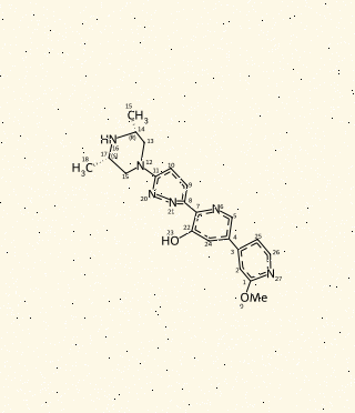 COc1cc(-c2cnc(-c3ccc(N4C[C@@H](C)N[C@@H](C)C4)nn3)c(O)c2)ccn1